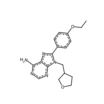 CCOc1ccc(-c2nc3c(N)ncnc3n2CC2CCOC2)cc1